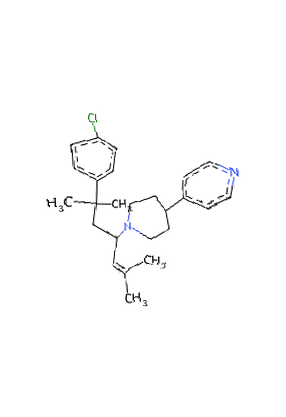 CC(C)=CC(CC(C)(C)c1ccc(Cl)cc1)N1CCC(c2ccncc2)CC1